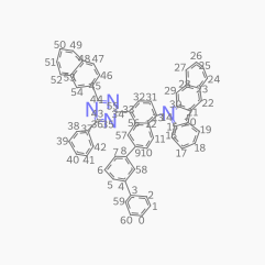 c1ccc(-c2cccc(-c3ccc4c(-n5c6ccccc6c6cc7ccccc7cc65)ccc(-c5nc(-c6ccccc6)nc(-c6ccc7ccccc7c6)n5)c4c3)c2)cc1